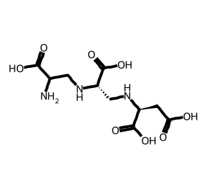 NC(CN[C@@H](CN[C@@H](CC(=O)O)C(=O)O)C(=O)O)C(=O)O